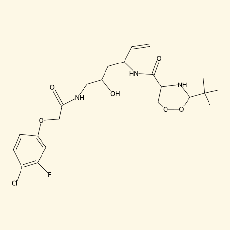 C=CC(CC(O)CNC(=O)COc1ccc(Cl)c(F)c1)NC(=O)C1COOC(C(C)(C)C)N1